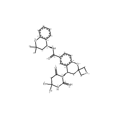 CCC1(CC)CC(=O)N([C@@H]2CC3(COC3)Oc3ccc(C(=O)N[C@H]4CC(C)(C)Oc5ccccc54)cc32)C(=N)N1